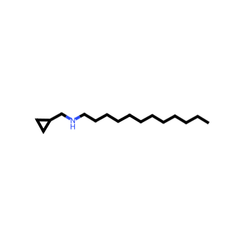 CCCCCCCCCCCCNCC1CC1